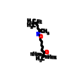 CCCCCCC(C)(CCCCCC)C(=O)CCCCCO/N=C(\C)CCC(C)(C)CC